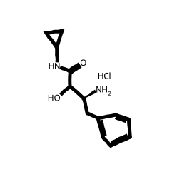 Cl.N[C@@H](Cc1ccccc1)C(O)C(=O)NC1CC1